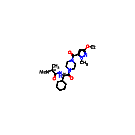 CCOc1cc(C(=O)N2CCN(C(=O)[C@@H](NC(=O)[C@H](C)NC)C3CCCCC3)CC2)n(C)n1